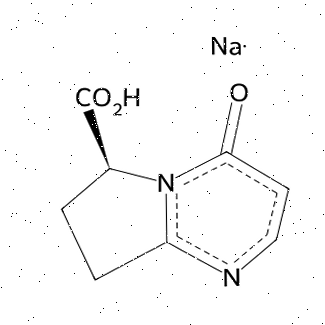 O=C(O)[C@@H]1CCc2nccc(=O)n21.[Na]